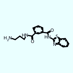 NCCCNC(=O)c1cccc(C(=O)Nc2nc3ccccc3s2)c1